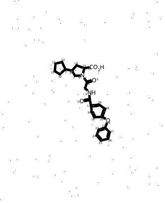 O=C(NCC(=O)N1CC(C2CCCC2)CC1C(=O)O)c1ccc(Oc2ccccc2)cc1